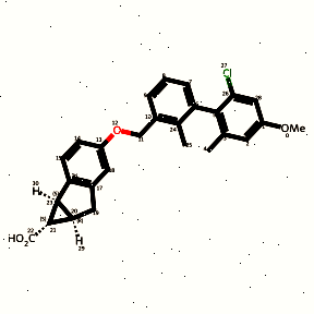 COc1cc(C)c(-c2cccc(COc3ccc4c(c3)C[C@H]3[C@H](C(=O)O)[C@@H]43)c2C)c(Cl)c1